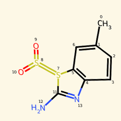 Cc1ccc2c(c1)S(=S(=O)=O)C(N)=N2